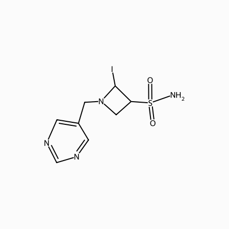 NS(=O)(=O)C1CN(Cc2cncnc2)C1I